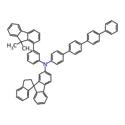 CC1(C)c2ccccc2-c2cccc(-c3cccc(N(c4ccc(-c5ccc(-c6ccc(-c7ccccc7)cc6)cc5)cc4)c4ccc5c(c4)C4(CCc6ccccc64)c4ccccc4-5)c3)c21